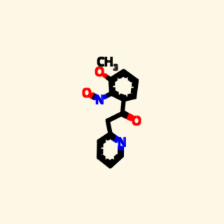 COc1cccc(C(=O)Cc2ccccn2)c1N=O